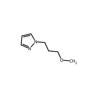 COCCCn1cccn1